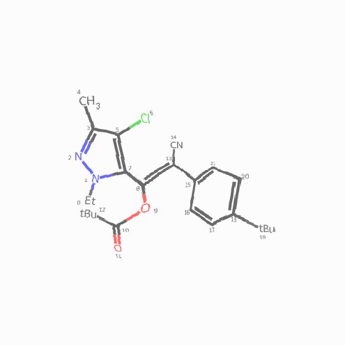 CCn1nc(C)c(Cl)c1C(OC(=O)C(C)(C)C)=C(C#N)c1ccc(C(C)(C)C)cc1